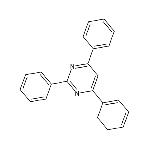 C1=CCCC(c2cc(-c3ccccc3)nc(-c3ccccc3)n2)=C1